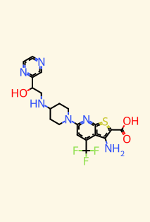 Nc1c(C(=O)O)sc2nc(N3CCC(NCC(O)c4cnccn4)CC3)cc(C(F)(F)F)c12